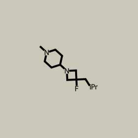 CC(C)CC1(F)CN(C2CCN(C)CC2)C1